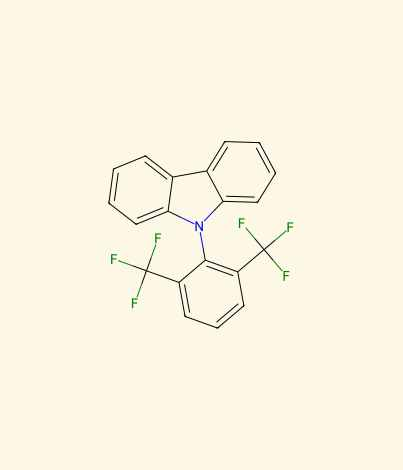 FC(F)(F)c1cccc(C(F)(F)F)c1-n1c2ccccc2c2ccccc21